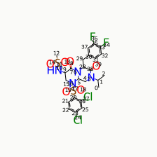 CC(C)N1CC2N(C(=O)C(NS(C)(=O)=O)CN2S(=O)(=O)c2ccc(Cl)cc2Cl)C(Cc2ccc(F)c(F)c2)C1=O